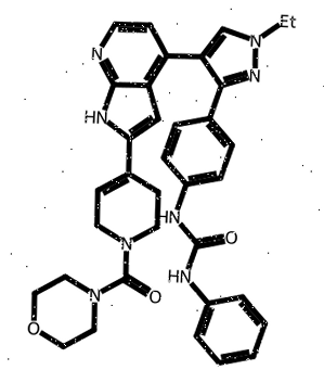 CCn1cc(-c2ccnc3[nH]c(C4=CCN(C(=O)N5CCOCC5)CC4)cc23)c(-c2ccc(NC(=O)Nc3ccccc3)cc2)n1